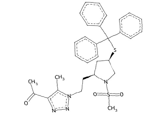 CC(=O)c1nnn(CC[C@H]2C[C@@H](SC(c3ccccc3)(c3ccccc3)c3ccccc3)CN2S(C)(=O)=O)c1C